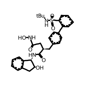 CC(C)(C)NS(=O)(=O)c1ccccc1-c1ccc(C[C@H](CC(=O)NO)C(=O)N[C@H]2c3ccccc3C[C@H]2O)cc1